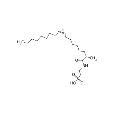 CCCCCCCC/C=C\CCCCCCC(C)C(=O)NCCS(=O)(=O)O